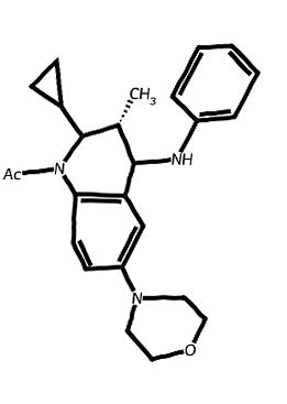 CC(=O)N1c2ccc(N3CCOCC3)cc2C(Nc2ccccc2)[C@@H](C)C1C1CC1